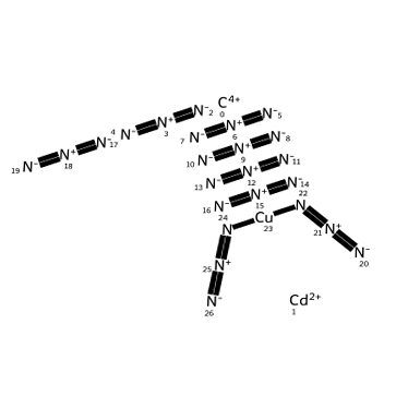 [C+4].[Cd+2].[N-]=[N+]=[N-].[N-]=[N+]=[N-].[N-]=[N+]=[N-].[N-]=[N+]=[N-].[N-]=[N+]=[N-].[N-]=[N+]=[N-].[N-]=[N+]=[N][Cu][N]=[N+]=[N-]